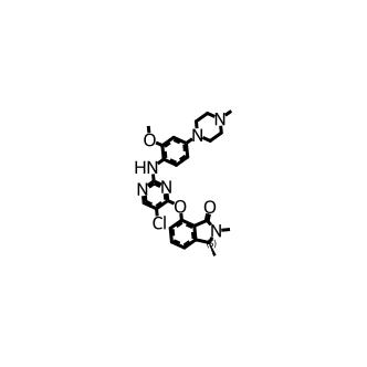 COc1cc(N2CCN(C)CC2)ccc1Nc1ncc(Cl)c(Oc2cccc3c2C(=O)N(C)[C@H]3C)n1